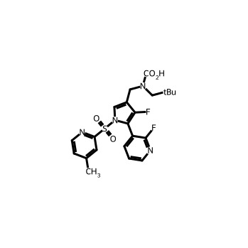 Cc1ccnc(S(=O)(=O)n2cc(CN(CC(C)(C)C)C(=O)O)c(F)c2-c2cccnc2F)c1